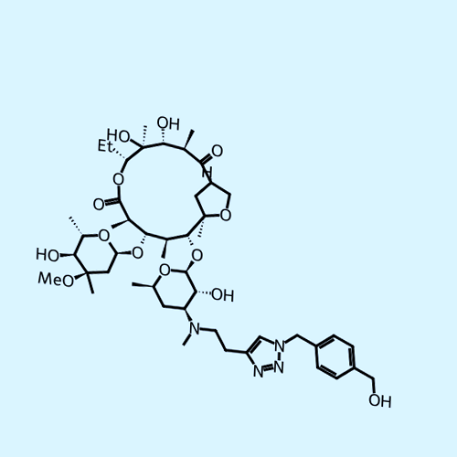 CC[C@H]1OC(=O)[C@H](C)[C@@H](O[C@H]2C[C@@](C)(OC)[C@@H](O)[C@H](C)O2)[C@H](C)[C@@H](O[C@@H]2O[C@H](C)C[C@H](N(C)CCc3cn(Cc4ccc(CO)cc4)nn3)[C@H]2O)[C@@]2(C)C[C@@H](CO2)C(=O)[C@H](C)[C@@H](O)[C@]1(C)O